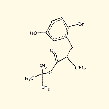 CC(Cc1cc(O)ccc1Br)C(=O)OC(C)(C)C